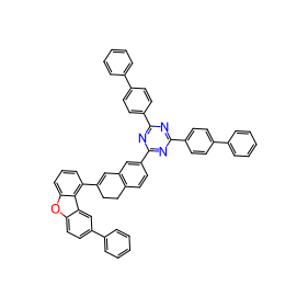 C1=C(c2cccc3oc4ccc(-c5ccccc5)cc4c23)CCc2ccc(-c3nc(-c4ccc(-c5ccccc5)cc4)nc(-c4ccc(-c5ccccc5)cc4)n3)cc21